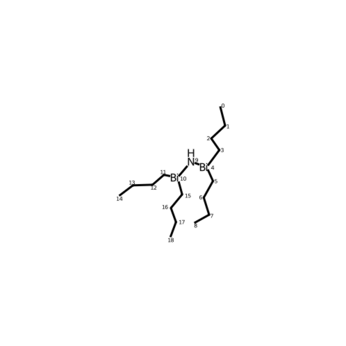 CCC[CH2][Bi]([CH2]CCC)[NH][Bi]([CH2]CCC)[CH2]CCC